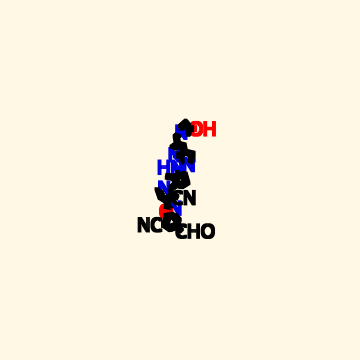 Cc1c(Nc2nccc3cc(CN4CCC(O)C4)cnc23)cccc1-c1nccc(-c2nc3cc(C=O)cc(C#N)c3o2)c1C#N